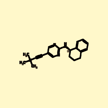 C[Si](C)(C)C#Cc1cnc(N[C@@H]2CCCc3ccccc32)nc1